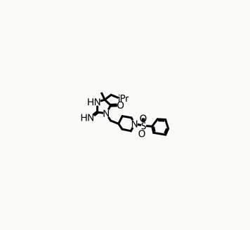 CC(C)CC1(C)NC(=N)N(CC2CCN(S(=O)(=O)c3ccccc3)CC2)C1=O